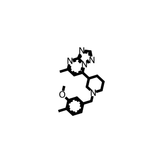 COc1cc(CN2CCCC(c3cc(C)nc4ncnn34)C2)ccc1C